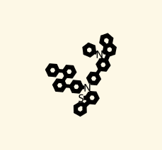 c1ccc(-c2ccccc2-c2ccccc2-c2ccc(N(c3ccc(-c4ccc5c6ccc7ccccc7c6n(-c6ccccc6)c5c4)cc3)c3cccc4c3sc3ccccc34)cc2)cc1